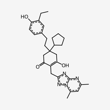 CCc1cc(CCC2(C3CCCC3)CC(=O)C(Cc3nc4nc(C)cc(C)n4n3)=C(O)C2)ccc1O